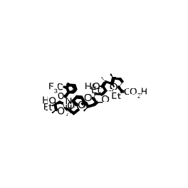 CCC(C(=O)[C@@H](C)[C@@H](O)[C@H](C)[C@@H]1O[C@@H]([C@@H](CC)C(=O)O)CC[C@@H]1C)[C@H]1O[C@]2(C=CC(NC(=O)c3ccccc3C(F)(F)F)[C@]3(CC[C@@](C)([C@H]4CC[C@](O)(CC)[C@H](C)O4)O3)O2)[C@H](C)C[C@@H]1C